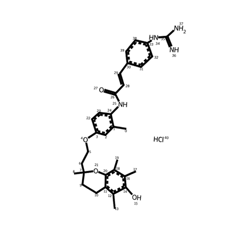 Cc1cc(OCCC2(C)CCc3c(C)c(O)c(C)c(C)c3O2)ccc1NC(=O)C=Cc1ccc(NC(=N)N)cc1.Cl